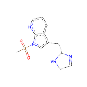 CS(=O)(=O)n1cc(CC2N=CCN2)c2cccnc21